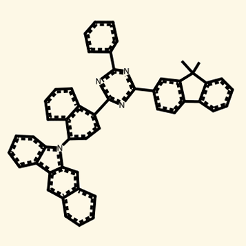 CC1(C)c2ccccc2-c2ccc(-c3nc(-c4ccccc4)nc(-c4ccc(-n5c6ccccc6c6cc7ccccc7cc65)c5ccccc45)n3)cc21